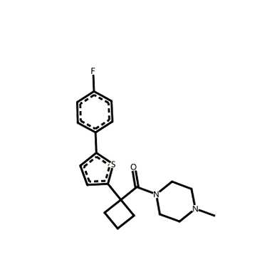 CN1CCN(C(=O)C2(c3ccc(-c4ccc(F)cc4)s3)CCC2)CC1